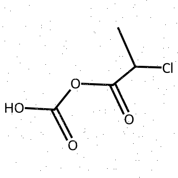 CC(Cl)C(=O)OC(=O)O